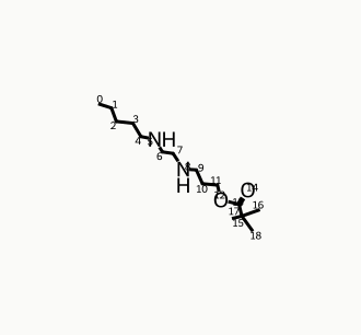 CCCCCNCCNCCCOC(=O)C(C)(C)C